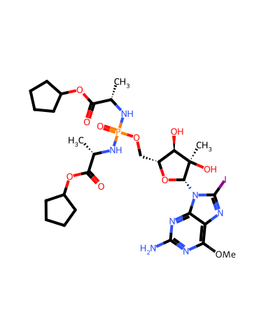 COc1nc(N)nc2c1nc(I)n2[C@@H]1O[C@H](COP(=O)(N[C@@H](C)C(=O)OC2CCCC2)N[C@@H](C)C(=O)OC2CCCC2)[C@@H](O)[C@@]1(C)O